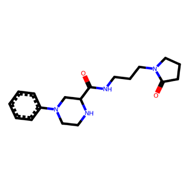 O=C(NCCCN1CCCC1=O)C1CN(c2ccccc2)CCN1